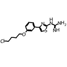 N=C(N)Nc1nc(-c2cccc(OCCCCCl)c2)cs1